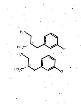 NC[C@H](Cc1cccc(Cl)c1)C(=O)O.NC[C@H](Cc1cccc(Cl)c1)C(=O)O